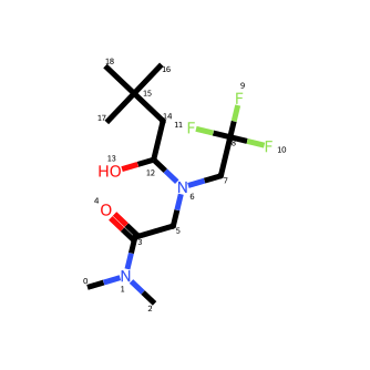 CN(C)C(=O)CN(CC(F)(F)F)C(O)CC(C)(C)C